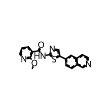 COc1ncccc1C(=O)Nc1ncc(-c2ccc3cnccc3c2)s1